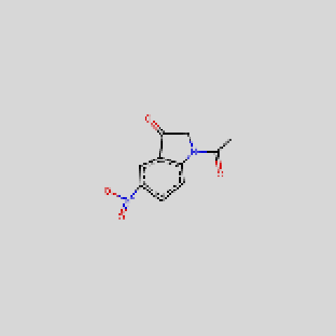 CC(=O)N1CC(=O)c2cc([N+](=O)[O-])ccc21